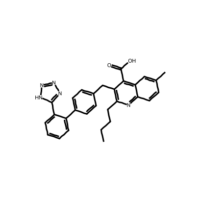 CCCCc1nc2ccc(C)cc2c(C(=O)O)c1Cc1ccc(-c2ccccc2-c2nnn[nH]2)cc1